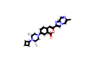 Cc1cn2cc(-c3cc4ccc(N5C[C@@H](C)N(C6CCC6)[C@@H](C)C5)cc4c(=O)o3)nc2cn1